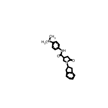 CN(C)c1ccc(NC(=O)C2CC(=O)N(C3Cc4ccccc4C3)C2)cc1